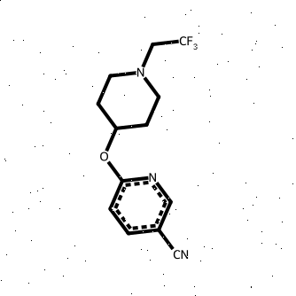 N#Cc1ccc(OC2CCN(CC(F)(F)F)CC2)nc1